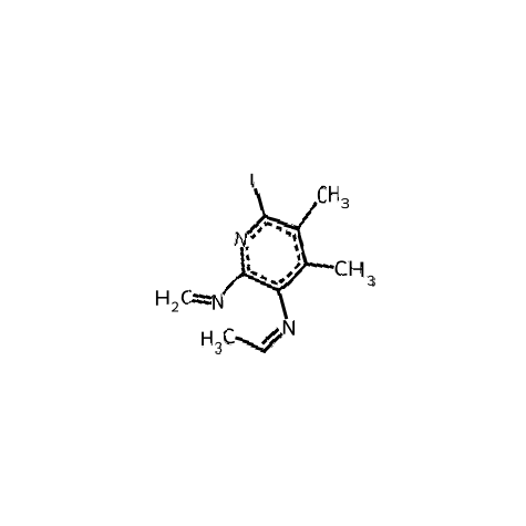 C=Nc1nc(I)c(C)c(C)c1/N=C\C